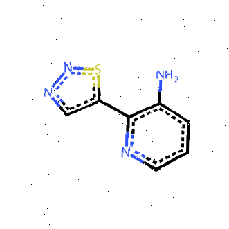 Nc1cccnc1-c1cnns1